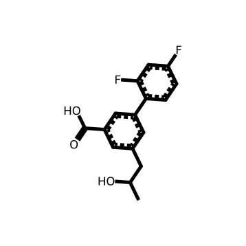 CC(O)Cc1cc(C(=O)O)cc(-c2ccc(F)cc2F)c1